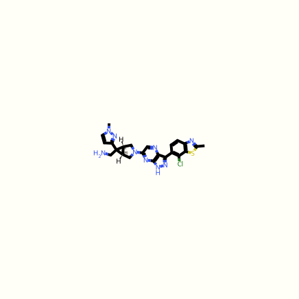 Cc1nc2ccc(-c3n[nH]c4nc(N5C[C@@H]6[C@H](C5)C6(CN)c5ccn(C)n5)cnc34)c(Cl)c2s1